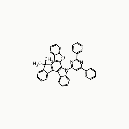 CC1(C)c2ccccc2-c2c1c1c3ccccc3oc1c1c2c2ccccc2n1-c1cc(-c2ccccc2)nc(-c2ccccc2)n1